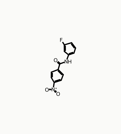 O=C(Nc1cccc(F)c1)c1ccc([N+](=O)[O-])cc1